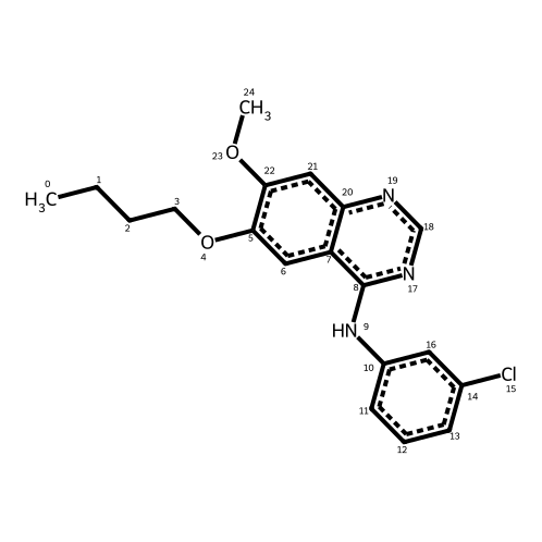 CCCCOc1cc2c(Nc3cccc(Cl)c3)ncnc2cc1OC